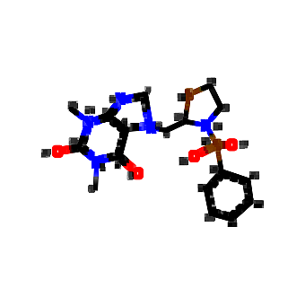 Cn1c(=O)c2c(ncn2CC2SCCN2S(=O)(=O)c2ccccc2)n(C)c1=O